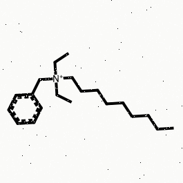 CCCCCCCCC[N+](CC)(CC)Cc1ccccc1